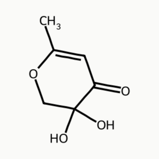 CC1=CC(=O)C(O)(O)CO1